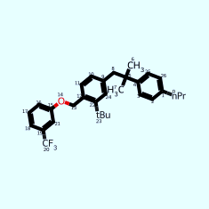 CCCc1ccc(C(C)(C)Cc2ccc(COc3cccc(C(F)(F)F)c3)c(C(C)(C)C)c2)cc1